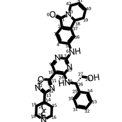 O=C1c2ccc(Nc3ncc(-c4nc(C56CCN(CC5)CC6)no4)c(N[C@H](CO)c4ccccc4)n3)cc2C2CC=CCN12